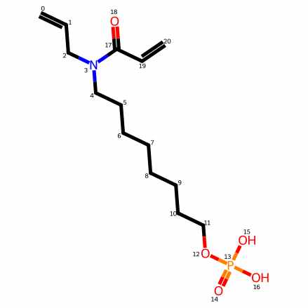 C=CCN(CCCCCCCCOP(=O)(O)O)C(=O)C=C